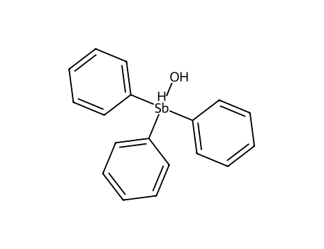 [OH][SbH]([c]1ccccc1)([c]1ccccc1)[c]1ccccc1